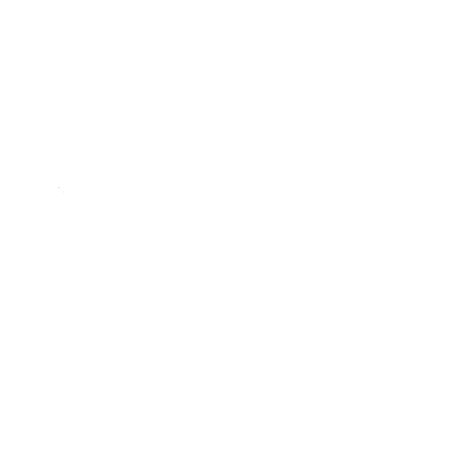 CCCCCCCCOc1ccc(C2CCC(c3ccc(F)nc3F)CC2)cc1